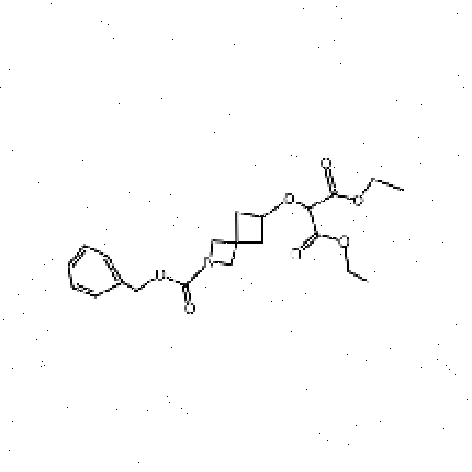 CCOC(=O)C(OC1CC2(C1)CN(C(=O)OCc1ccccc1)C2)C(=O)OCC